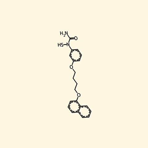 NC(=O)N(S)c1cccc(OCCCCOc2cccc3ccccc23)c1